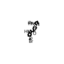 CC(C)Nc1cccnc1N1CCN(C(=O)c2c[nH]c3ccc(OCBr)cc23)CC1